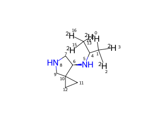 [2H]C([2H])([2H])C(N[C@@H]1CNCC12CC2)C([2H])([2H])[2H]